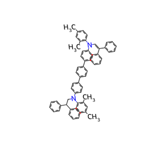 Cc1ccc(N(C=C(c2ccccc2)c2ccccc2)c2ccc(-c3ccc(-c4ccc(N(CC(c5ccccc5)c5ccccc5)c5ccc(C)cc5C)cc4)cc3)cc2)c(C)c1